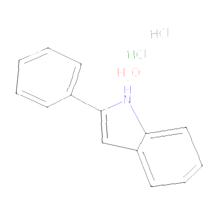 Cl.Cl.O.c1ccc(-c2cc3ccccc3[nH]2)cc1